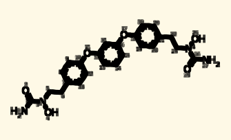 NC(=O)N(O)CCc1ccc(Oc2cccc(Oc3ccc(CCN(O)C(N)=O)cc3)c2)cc1